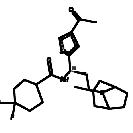 CC(=O)c1csc([C@H](CCN2C3CCC2CC(C)C3)NC(=O)C2CCC(F)(F)CC2)c1